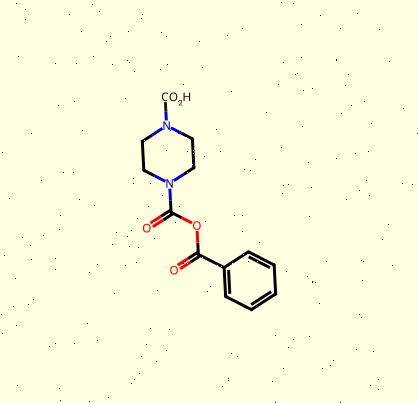 O=C(OC(=O)N1CCN(C(=O)O)CC1)c1ccccc1